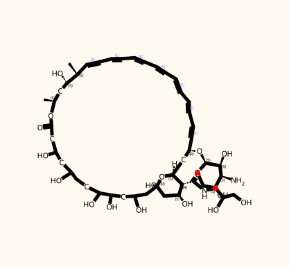 C[C@H]1C[C@H](O)[C@@H](C)/C=C/C=C/C=C/C=C/C=C/C=C/C=C/[C@H](O[C@@H]2OC[C@@H](O)[C@H](N)[C@@H]2O)C[C@@H]2O[C@](O)(CC(O)CC(O)C(O)CCC(O)CC(O)CC(=O)O1)C[C@H](O)[C@H]2C(=O)NCC(O)CO